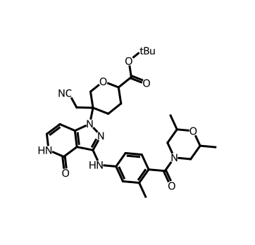 Cc1cc(Nc2nn(C3(CC#N)CCC(C(=O)OC(C)(C)C)OC3)c3cc[nH]c(=O)c23)ccc1C(=O)N1CC(C)OC(C)C1